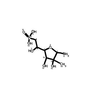 BC1OC(C(O)CP(=O)(O)O)C(O)C1(C)O